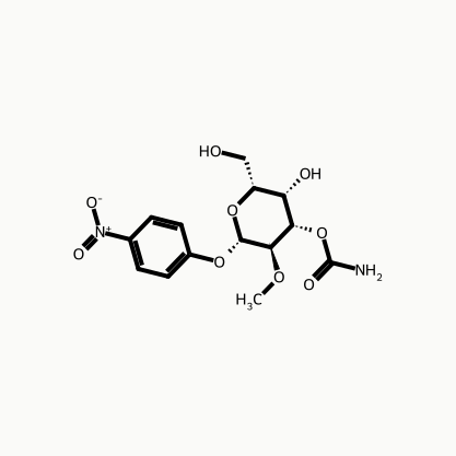 CO[C@H]1[C@H](Oc2ccc([N+](=O)[O-])cc2)O[C@H](CO)[C@H](O)[C@@H]1OC(N)=O